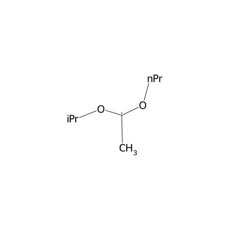 CCCO[C](C)OC(C)C